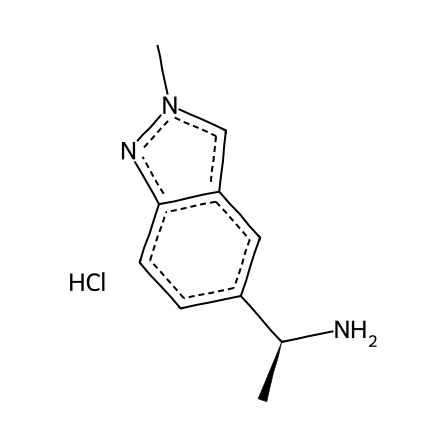 C[C@H](N)c1ccc2nn(C)cc2c1.Cl